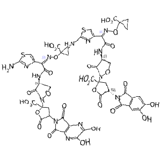 Nc1nc(/C(=N/OC2(C(=O)O)CC2)C(=O)N[C@H]2CON(C3(C(=O)O)CC(N4C(=O)c5nc(O)c(O)nc5C4=O)C(=O)O3)C2=O)cs1.Nc1nc(/C(=N/OC2(C(=O)O)CC2)C(=O)N[C@H]2CON(C3(C(=O)O)C[C@H](N4C(=O)c5cc(O)c(O)cc5C4=O)C(=O)O3)C2=O)cs1